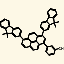 CC1(C)c2ccccc2-c2ccc(-c3ccc4ccc5c(-c6cccc(C#N)c6)cc(-c6ccc7c(c6)C(C)(C)c6ccccc6-7)c6ccc3c4c56)cc21